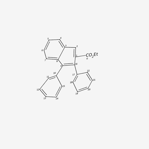 CCOC(=O)c1cc2ccccc2c(-c2ccccc2)c1-c1ccccc1